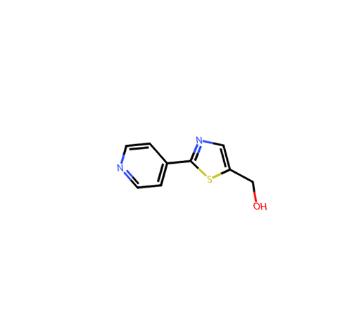 OCc1cnc(-c2ccncc2)s1